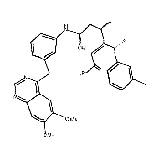 C=C(/C=C(/C(C)CC(O)Nc1cccc(Cc2ncnc3cc(OC)c(OC)cc23)c1)[C@H](C)c1cccc(C)c1)C(C)C